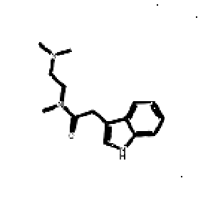 CN(C)CCN(C)C(=O)Cc1c[nH]c2ccccc12